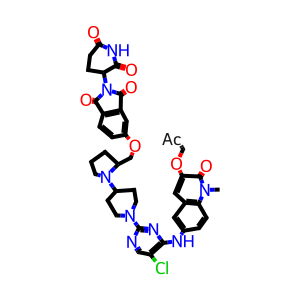 CC(=O)COc1cc2cc(Nc3nc(N4CCC(N5CCCC5COc5ccc6c(c5)C(=O)N(C5CCC(=O)NC5=O)C6=O)CC4)ncc3Cl)ccc2n(C)c1=O